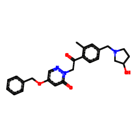 Cc1cc(CN2CCC(O)C2)ccc1C(=O)Cn1ncc(OCc2ccccc2)cc1=O